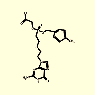 CCC(=O)COP(=O)(CCOCCn1cnc2c(=O)[nH]c(N)nc21)OCc1ccc(C)cc1